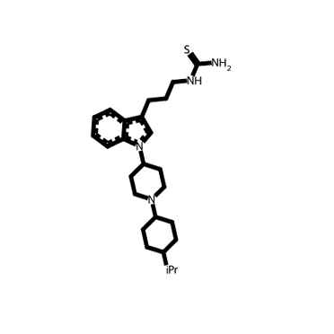 CC(C)C1CCC(N2CCC(n3cc(CCCNC(N)=S)c4ccccc43)CC2)CC1